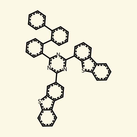 c1ccc(-c2ccccc2-c2ccccc2-c2nc(-c3ccc4c(c3)sc3ccccc34)nc(-c3cccc4c3sc3ccccc34)n2)cc1